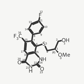 CO[C@H](CO)CSc1c(-c2ccc(F)cc2)c(C(F)(F)F)cc2c(=O)[nH]c(=O)[nH]c12